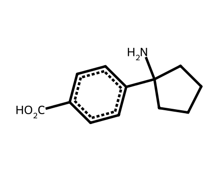 NC1(c2ccc(C(=O)O)cc2)CCCC1